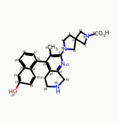 Cc1c(N2CCC3(CN(C(=O)O)C3)C2)nc2c(c1-c1cccc3cc(O)ccc13)CCNC2